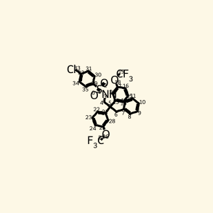 O=S(=O)(NCC(Cc1ccccc1)(c1cccc(OC(F)(F)F)c1)c1cccc(OC(F)(F)F)c1)c1ccc(Cl)cc1